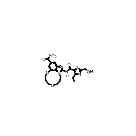 CCc1nc(CO)sc1C(=O)Nc1nc2cc(C(N)=O)cc3c2n1CCCOCCCO3